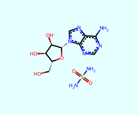 NS(N)(=O)=O.Nc1ncnc2c1ncn2[C@@H]1O[C@H](CO)[C@@H](O)[C@H]1O